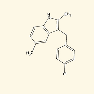 Cc1ccc2[nH]c(C)c(Cc3ccc(Cl)cc3)c2c1